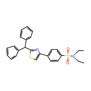 CCN(CC)S(=O)(=O)c1ccc(-c2csc(C(c3ccccc3)c3ccccc3)n2)cc1